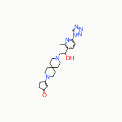 Cc1nc(-n2cnnn2)ccc1[C@@H](O)CN1CCC2(CC1)CCN(C1=CC(=O)CC1)CC2